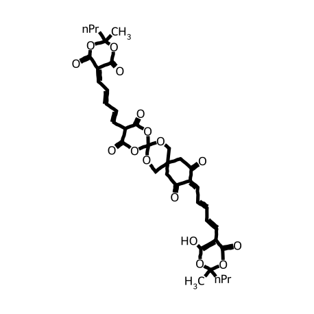 CCCC1(C)OC(=O)C(=C/C=C/C=C/C2C(=O)OC3(OCC4(CO3)CC(=O)C(=C/C=C/C=C/C3=C(O)OC(C)(CCC)OC3=O)C(=O)C4)OC2=O)C(=O)O1